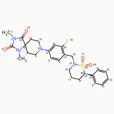 CN1C(=O)N(C)C2(CCN(c3ccc(CN4CCC[C@H](c5ccccc5)S4(=O)=O)c(F)c3)CC2)C1=O